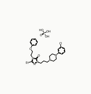 CCc1nn(CCCN2CCN(c3cccc(Cl)c3)CC2)c(=O)n1CCOc1ccccc1.O=P(O)(O)O